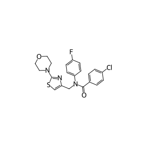 O=C(c1ccc(Cl)cc1)N(Cc1csc(N2CCOCC2)n1)c1ccc(F)cc1